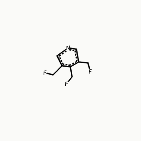 FCc1cncc(CF)c1CF